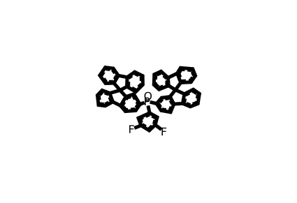 O=P(c1cc(F)cc(F)c1)(c1ccc2c(c1)C1(c3ccccc3-c3ccccc31)c1ccccc1-2)c1ccc2c(c1)C1(c3ccccc3-c3ccccc31)c1ccccc1-2